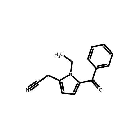 CCn1c(CC#N)ccc1C(=O)c1ccccc1